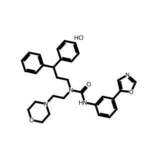 Cl.O=C(Nc1cccc(-c2cnco2)c1)N(CCC(c1ccccc1)c1ccccc1)CCN1CCOCC1